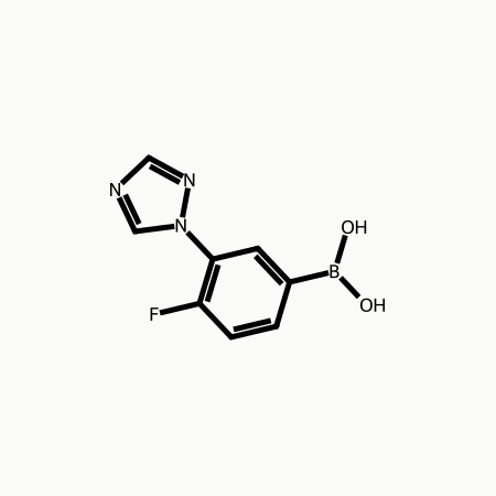 OB(O)c1ccc(F)c(-n2cncn2)c1